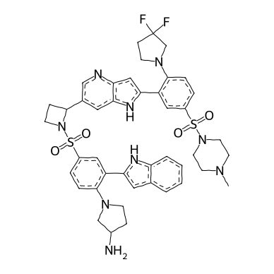 CN1CCN(S(=O)(=O)c2ccc(N3CCC(F)(F)C3)c(-c3cc4ncc(C5CCN5S(=O)(=O)c5ccc(N6CCC(N)C6)c(-c6cc7ccccc7[nH]6)c5)cc4[nH]3)c2)CC1